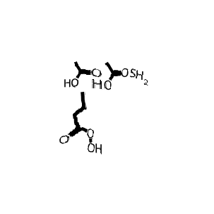 CC(=O)O.CC(=O)O.CCCC(=O)OO.S